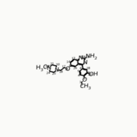 CCOc1ccc(-c2nc(N)nc3ccc(OCCN4CCN(C)CC4)cc23)cc1O